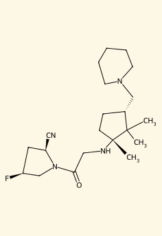 CC1(C)[C@@H](CN2CCCCC2)CC[C@@]1(C)NCC(=O)N1C[C@@H](F)C[C@H]1C#N